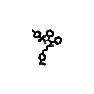 COc1ccc(CCCN[C@H](c2ccccc2)[C@H](NS(=O)(=O)c2ccc(I)cc2)c2ccccc2)cc1